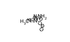 CN1CC(c2cnn3c(C(N)=O)c(-c4ccc(Oc5ccccc5)cc4)[nH]c23)C1